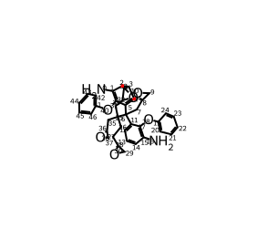 Nc1cccc(C(CC2CO2)(c2cccc(N)c2Oc2ccccc2)C(CCC2CO2)(CC2CO2)CC2CO2)c1Oc1ccccc1